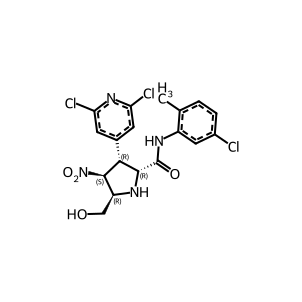 Cc1ccc(Cl)cc1NC(=O)[C@@H]1N[C@@H](CO)[C@@H]([N+](=O)[O-])[C@@H]1c1cc(Cl)nc(Cl)c1